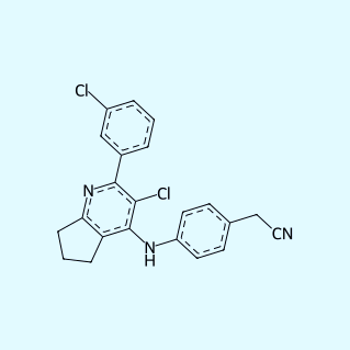 N#CCc1ccc(Nc2c(Cl)c(-c3cccc(Cl)c3)nc3c2CCC3)cc1